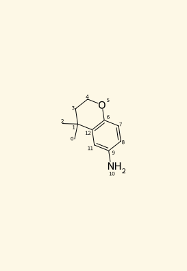 CC1(C)CCOc2ccc(N)cc21